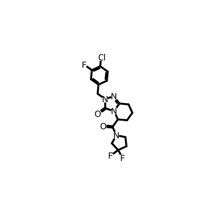 O=C(C1CCCc2nn(Cc3ccc(Cl)c(F)c3)c(=O)n21)N1CCC(F)(F)C1